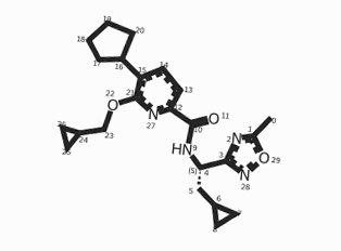 Cc1nc([C@H](CC2CC2)NC(=O)c2ccc(C3CCCC3)c(OCC3CC3)n2)no1